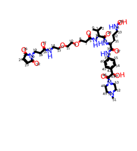 CC(C)[C@H](NC(=O)CCOCCOCCNC(=O)CCN1C(=O)C=CC1=O)C(=O)N[C@@H](CCCNO)C(=O)Nc1ccc(C(O)C(=O)N2CCN(C)CC2)cc1